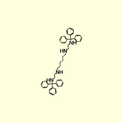 c1ccc(C(NCCNCCCCCCNCCNC(c2ccccc2)(c2ccccc2)c2ccccc2)(c2ccccc2)c2ccccc2)cc1